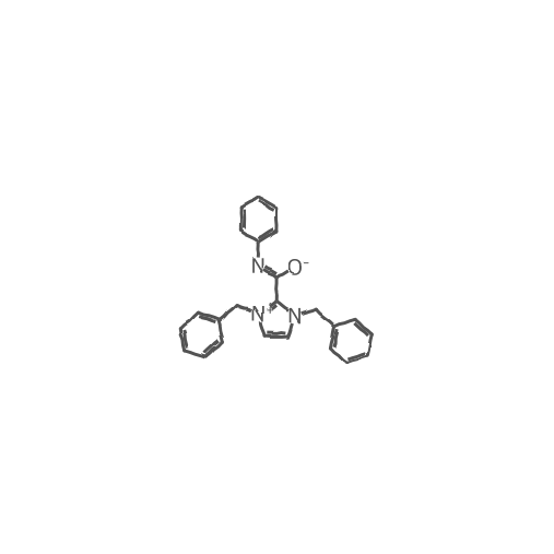 [O-]/C(=N\c1ccccc1)c1n(Cc2ccccc2)cc[n+]1Cc1ccccc1